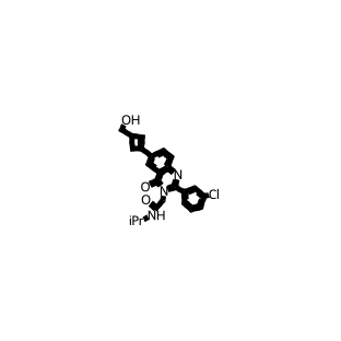 CC(C)NC(=O)Cn1c(-c2cccc(Cl)c2)nc2ccc(C3=CC(CO)C3)cc2c1=O